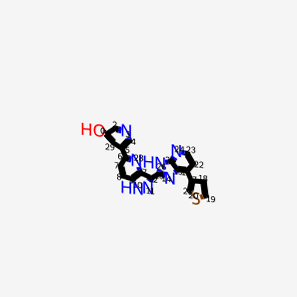 Oc1cncc(-c2ccc3[nH]nc(-c4nc5c(-c6ccsc6)ccnc5[nH]4)c3n2)c1